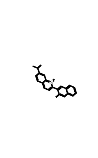 Cc1cc2ccccc2cc1-c1ccc2ccc(C(C)C)cc2[n+]1C